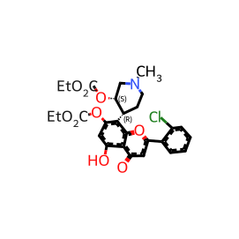 CCOC(=O)Oc1cc(O)c2c(=O)cc(-c3ccccc3Cl)oc2c1[C@H]1CCN(C)C[C@H]1OC(=O)OCC